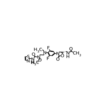 CCN(CCN(OC)C(=O)Nc1nccs1)c1c(F)cc(N2C[C@H](CNC(C)=O)OC2=O)cc1F